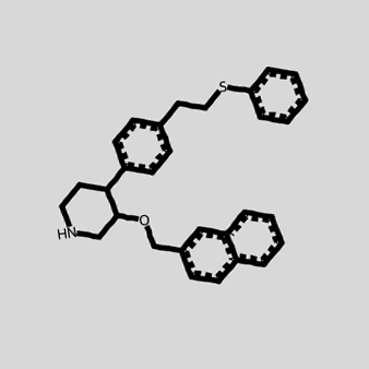 c1ccc(SCCc2ccc(C3CCNCC3OCc3ccc4ccccc4c3)cc2)cc1